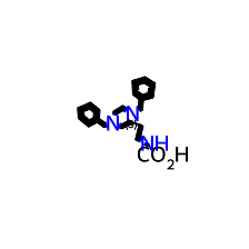 O=C(O)NCC[C@H]1CN(Cc2ccccc2)CCN1Cc1ccccc1